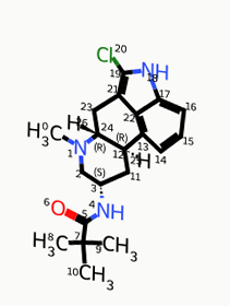 CN1C[C@@H](NC(=O)C(C)(C)C)C[C@@H]2c3cccc4[nH]c(Cl)c(c34)C[C@H]21